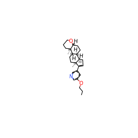 CCCOc1cncc(C2=CC[C@H]3[C@@H]4CC[C@H]5OCCC[C@]5(C)[C@H]4CC[C@]23C)c1